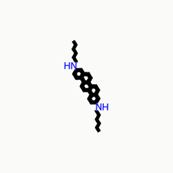 CCCCCCNc1ccc2c(ccc3c2ccc2c4ccc(NCCCCCC)cc4ccc23)c1